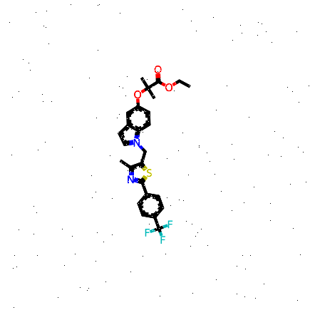 CCOC(=O)C(C)(C)Oc1ccc2c(ccn2Cc2sc(-c3ccc(C(F)(F)F)cc3)nc2C)c1